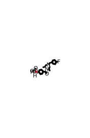 CC1CN(Cc2ccc(F)cc2)CC(C)N1C(=O)c1ccc(N[SH](=O)=O)cc1